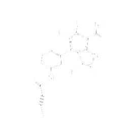 CC#CC(=O)NC1CCC=C(c2c(F)c(F)c(C(N)=O)c3[nH]c(C)c(Cl)c23)C1